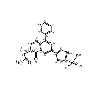 C[C@@H](C(=O)O)n1cnc2c(-c3cccnc3)nc(-c3ccc(C(F)(F)F)nc3)cc2c1=O